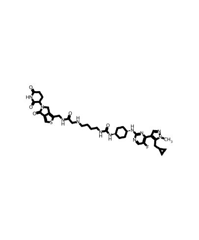 Cn1ncc(-c2nc(N[C@H]3CC[C@H](NC(=O)NCCCCNCC(=O)NCc4scc5c4CN(C4CCC(=O)NC4=O)C5=O)CC3)ncc2F)c1CC1CC1